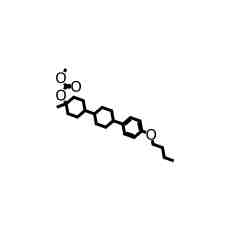 CCCCOc1ccc(C2CCC(C3CCC(C)(OC(=O)OC)CC3)CC2)cc1